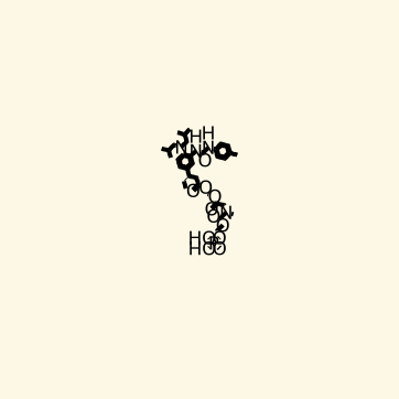 CC[C@@H](CC(=O)OCOC(=O)CN(C)C(=O)OCOP(=O)(O)O)c1ccc(N(CC(C)C)CC(C)C)c(NC(=O)Nc2ccc(C)cc2)c1